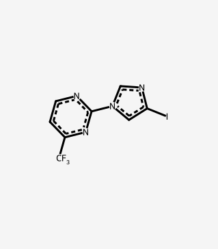 FC(F)(F)c1ccnc(-n2cnc(I)c2)n1